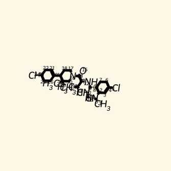 CNC1C=C(Cl)CC[C@H]1C(NC)N[C@@H](C(=O)N1CCC(C2=CC[C@H](Cl)CC2)C(C)(C)C1)C(C)C